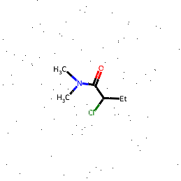 CCC(Cl)C(=O)N(C)C